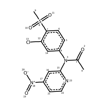 CC(=O)N(c1ccc(S(C)(=O)=O)c(Cl)c1)c1cc([N+](=O)[O-])ccn1